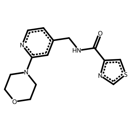 O=C(NCc1ccnc(N2CCOCC2)c1)c1cscn1